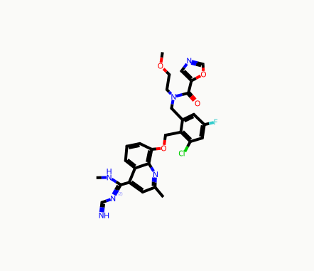 CN/C(=N\C=N)c1cc(C)nc2c(OCc3c(Cl)cc(F)cc3CN(CCOC)C(=O)c3cnco3)cccc12